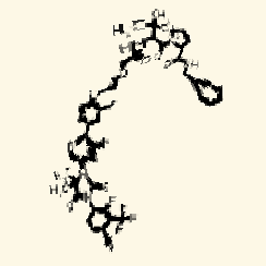 CC(C)(C)C(NC(=O)COCCOc1ccc(-c2ncc(N3C(=S)N(c4ccc(C#N)c(C(F)(F)F)c4F)C(=O)C3(C)C)cc2F)cc1F)C(=O)N1CCCC1C(=O)NCc1ccccc1